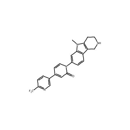 Cn1c2c(c3ccc(-n4ccc(-c5ccc(C(F)(F)F)nc5)cc4=O)cc31)CNCC2